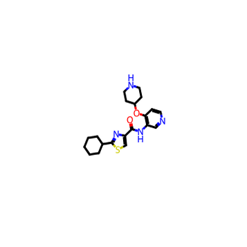 O=C(Nc1cnccc1OC1CCNCC1)c1csc(C2CCCCC2)n1